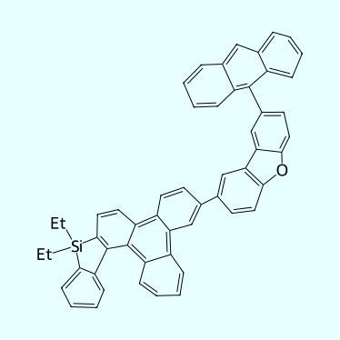 CC[Si]1(CC)c2ccccc2-c2c1ccc1c3ccc(-c4ccc5oc6ccc(-c7c8ccccc8cc8ccccc78)cc6c5c4)cc3c3ccccc3c21